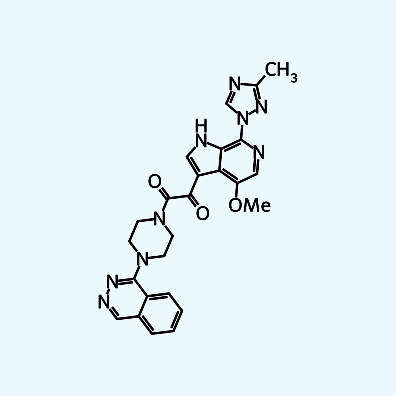 COc1cnc(-n2cnc(C)n2)c2[nH]cc(C(=O)C(=O)N3CCN(c4nncc5ccccc45)CC3)c12